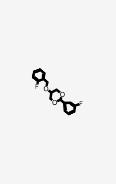 Fc1cccc(C2OCC(OCc3ccccc3F)CO2)c1